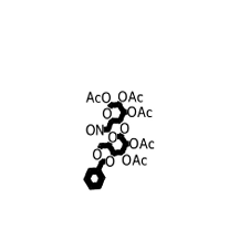 CC(=O)OC1OC(CN=O)C(OC2OC3COC(c4ccccc4)OC3C(OC(C)=O)C2OC(C)=O)C(OC(C)=O)C1OC(C)=O